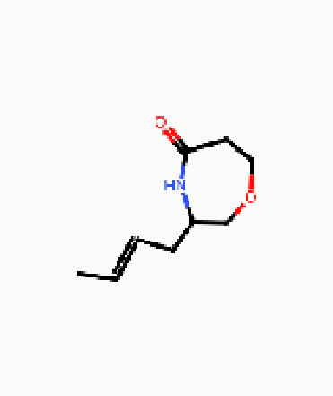 CC=CCC1COCCC(=O)N1